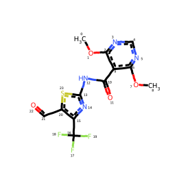 COc1ncnc(OC)c1C(=O)Nc1nc(C(F)(F)F)c(C=O)s1